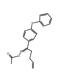 C=CCC/C(=N\OC(C)=O)c1ccc(Sc2ccccc2)cc1